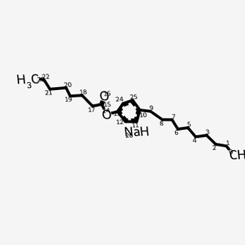 CCCCCCCCCCc1ccc(OC(=O)CCCCCCC)cc1.[NaH]